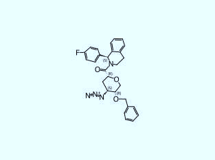 [N-]=[N+]=N[C@H]1C[C@H](C(=O)N2CCc3ccccc3[C@@H]2c2ccc(F)cc2)OC[C@@H]1OCc1ccccc1